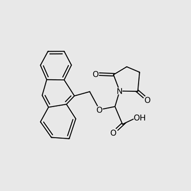 O=C(O)C(OCc1c2ccccc2cc2ccccc12)N1C(=O)CCC1=O